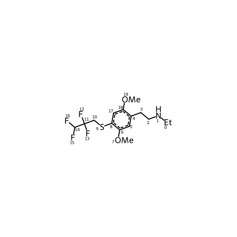 CCNCCc1cc(OC)c(SCC(F)(F)C(F)F)cc1OC